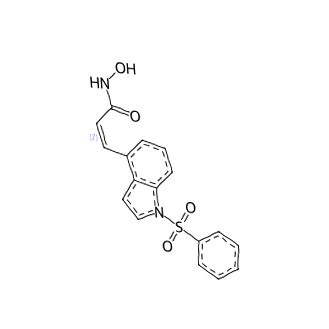 O=C(/C=C\c1cccc2c1ccn2S(=O)(=O)c1ccccc1)NO